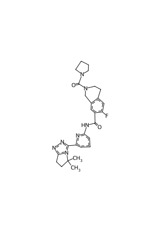 CC1(C)CCc2nnc(-c3cccc(NC(=O)c4cc5c(cc4F)CCN(C(=O)N4CCCC4)C5)n3)n21